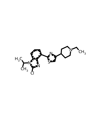 CCN1CCC(c2csc(-c3cccc4c3nc(Cl)n4C(C)C)n2)CC1